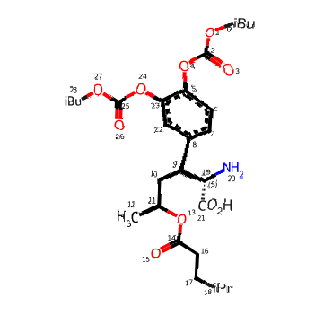 CCC(C)OC(=O)Oc1ccc(C(CC(C)OC(=O)CCC(C)C)[C@H](N)C(=O)O)cc1OC(=O)OC(C)CC